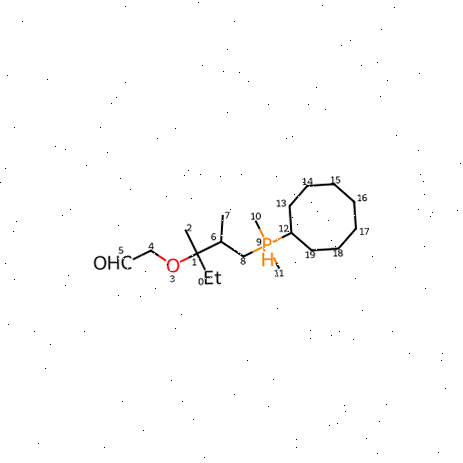 CCC(C)(OCC=O)C(C)C[PH](C)(C)C1CCCCCCC1